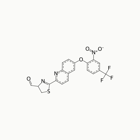 O=CC1CSC(c2ccc3cc(Oc4ccc(C(F)(F)F)cc4[N+](=O)[O-])ccc3n2)=N1